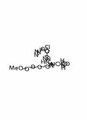 COCCOCCOCCOCCCOc1nn(C2CCC(N3[C@@H]4CC[C@H]3COC4)CC2)cc1Nc1ncc(-c2ccc(Cl)c(O[C@@H](C)Cn3cncn3)c2)cn1